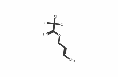 C/C=C/COC(=N)C(Cl)(Cl)Cl